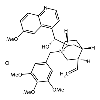 C=C[C@H]1C[N+]2(Cc3cc(OC)c(OC)c(OC)c3)CC[C@H]1C[C@H]2[C@H](O)c1ccnc2ccc(OC)cc12.[Cl-]